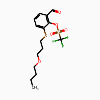 CCCCOCCCSc1cccc(C=O)c1OS(=O)(=O)C(F)(F)F